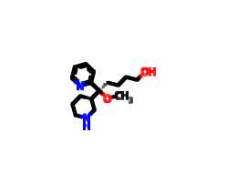 CO[C@](CCCCO)(c1ccccn1)[C@@H]1CCCNC1